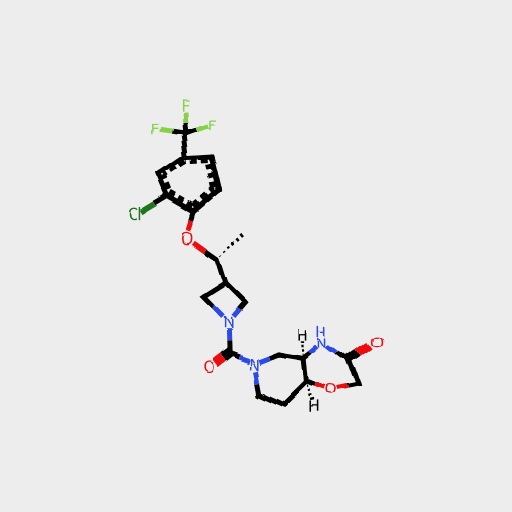 C[C@@H](Oc1ccc(C(F)(F)F)cc1Cl)C1CN(C(=O)N2CC[C@@H]3OCC(=O)N[C@@H]3C2)C1